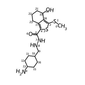 CSc1sc(C(=O)NNCC2CCC(N)CC2)c2c1C(O)CCC2